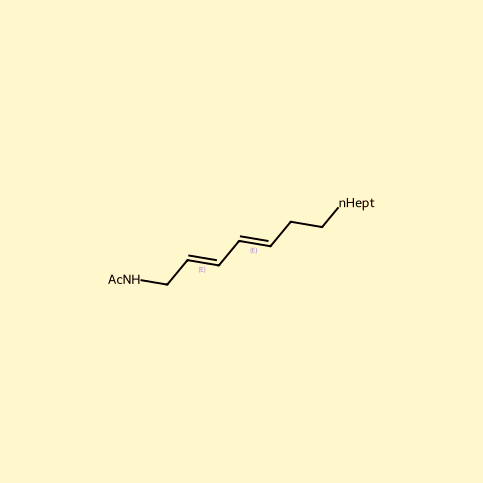 CCCCCCCCC/C=C/C=C/CNC(C)=O